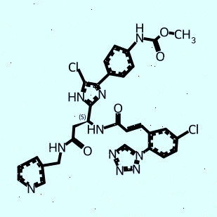 COC(=O)Nc1ccc(-c2nc([C@H](CC(=O)NCc3cccnc3)NC(=O)C=Cc3cc(Cl)ccc3-n3cnnn3)[nH]c2Cl)cc1